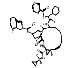 O=C(N[C@H](C(=O)N[C@H]1CCCCC/C=C\[C@@H]2C[C@@]2(C(=O)NS(=O)(=O)C2CC2)NC(=O)[C@@H]2C[C@@H](OC(=O)N3Cc4cccc(F)c4C3)CN2C1=O)C1CCCCC1)c1cnccn1